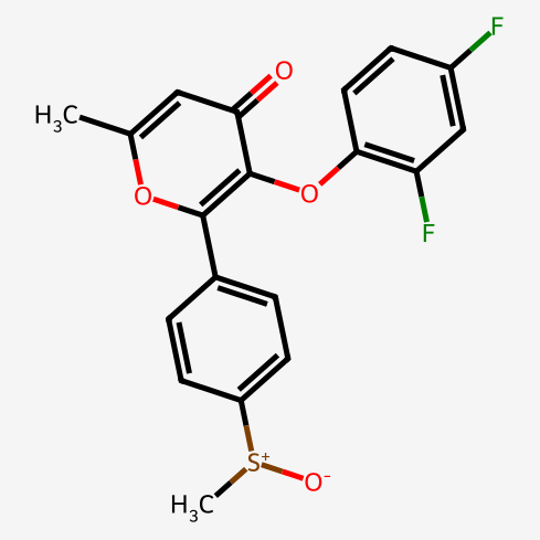 Cc1cc(=O)c(Oc2ccc(F)cc2F)c(-c2ccc([S+](C)[O-])cc2)o1